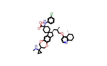 CNC1(C2COc3cc4c(cc3OC2)C2(CCC(Nc3cccc(Cl)c3)(C(=O)O)CC2)[C@@H](C[C@@H](C)COc2ccnc3c2[C@H](C)CCC3)C4)CC1